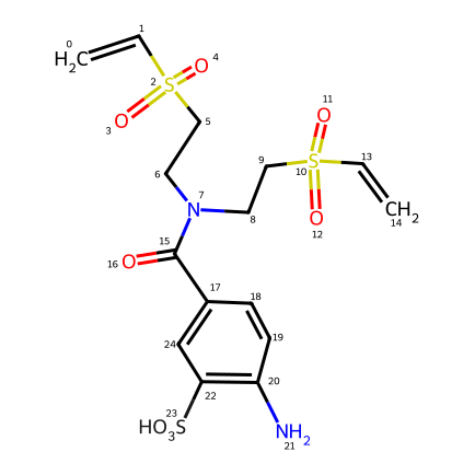 C=CS(=O)(=O)CCN(CCS(=O)(=O)C=C)C(=O)c1ccc(N)c(S(=O)(=O)O)c1